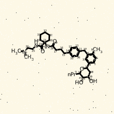 CCCC1OC(c2ccc(C)c(Cc3ccc(CCCC(=O)NC4(C(=O)NCCN(C)C)CCCCC4)cc3)c2)CC(O)[C@@H]1O